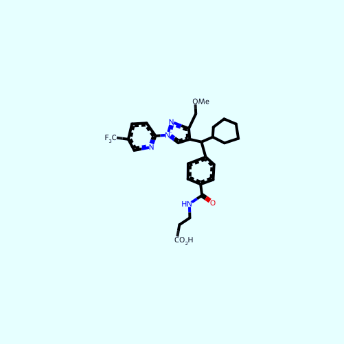 COCc1nn(-c2ccc(C(F)(F)F)cn2)cc1C(c1ccc(C(=O)NCCC(=O)O)cc1)C1CCCCC1